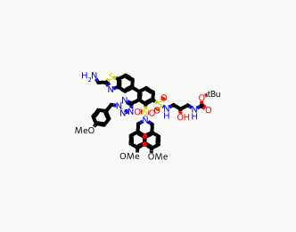 COc1ccc(CN(Cc2ccc(OC)cc2)S(=O)(=O)c2c(S(=O)(=O)NCC(O)CNC(=O)OC(C)(C)C)ccc(-c3ccc4sc(CN)nc4c3)c2-c2nnn(Cc3ccc(OC)cc3)n2)cc1